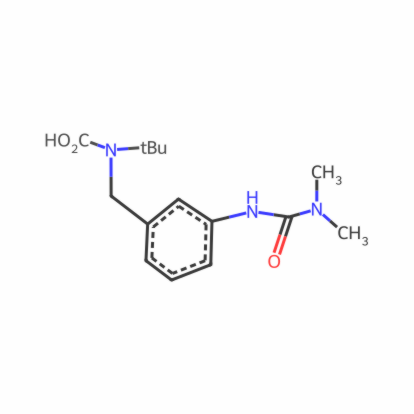 CN(C)C(=O)Nc1cccc(CN(C(=O)O)C(C)(C)C)c1